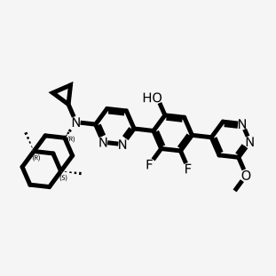 COc1cc(-c2cc(O)c(-c3ccc(N(C4CC4)[C@H]4C[C@]5(C)CCC[C@](C)(C4)C5)nn3)c(F)c2F)cnn1